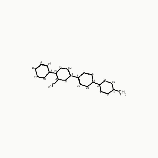 CC1CCC(C2CCC(C3CCC(C4CCCCC4)C(F)C3)CC2)CC1